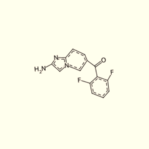 Nc1cn2cc(C(=O)c3c(F)cccc3F)ccc2n1